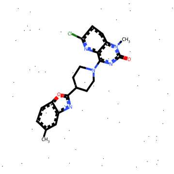 Cc1ccc2oc(C3CCN(c4nc(=O)n(C)c5ccc(Cl)nc45)CC3)nc2c1